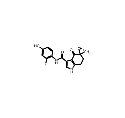 CC1(C)CCc2[nH]cc(C(=O)Nc3ccc(O)cc3F)c2C1=O